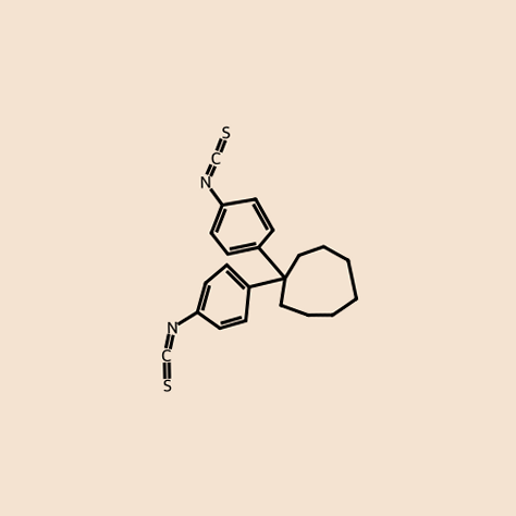 S=C=Nc1ccc(C2(c3ccc(N=C=S)cc3)CCCCCCC2)cc1